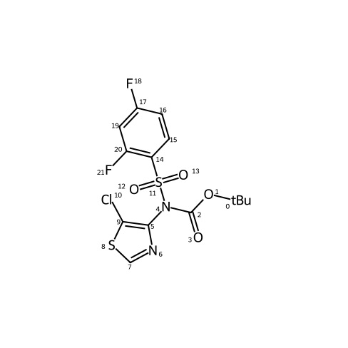 CC(C)(C)OC(=O)N(c1ncsc1Cl)S(=O)(=O)c1ccc(F)cc1F